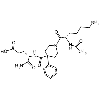 CC(=O)N[C@@H](CCCCN)C(=O)N1CCC(C(=O)N[C@@H](CCC(=O)O)C(N)=O)(c2ccccc2)CC1